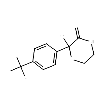 O=C1NCCSC1(O)c1ccc(C(F)(F)F)cc1